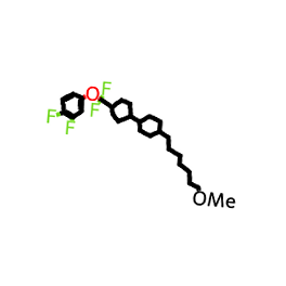 COCCCCCCCC1CCC(C2CCC(C(F)(F)Oc3ccc(F)c(F)c3)CC2)CC1